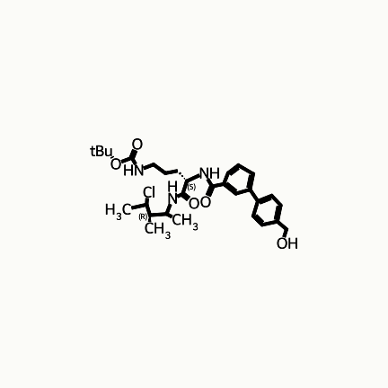 CC(Cl)[C@H](C)C(C)NC(=O)[C@H](CCCNC(=O)OC(C)(C)C)NC(=O)c1cccc(-c2ccc(CO)cc2)c1